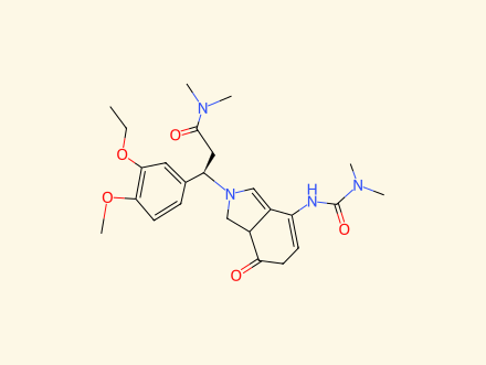 CCOc1cc([C@@H](CC(=O)N(C)C)N2C=C3C(NC(=O)N(C)C)=CCC(=O)C3C2)ccc1OC